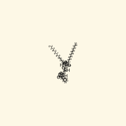 CCCCCCCCCCCCCCCC(=O)N[C@@H](CC(=O)NCCC(=O)N[C@@H](Cc1ccccc1)C(=O)O)C(=O)NCCCCCCCCCCCCCC